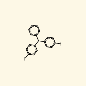 Ic1ccc(C(c2ccccc2)c2ccc(I)cc2)cc1